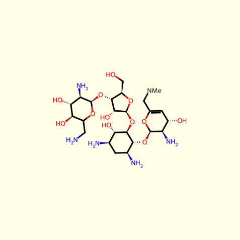 CNCC1=C[C@H](O)[C@@H](N)[C@@H](O[C@H]2[C@H](O[C@@H]3O[C@H](CO)[C@@H](O[C@H]4OC(CN)[C@@H](O)[C@H](O)[C@H]4N)[C@H]3O)[C@@H](O)[C@H](N)C[C@@H]2N)O1